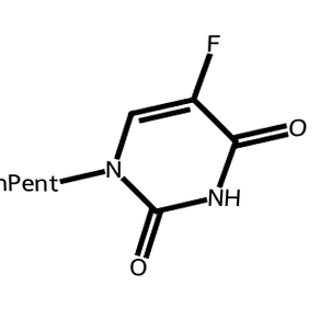 CCCCCn1cc(F)c(=O)[nH]c1=O